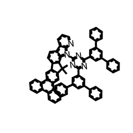 CC1(C)c2cc3c4ccccc4c4ccccc4c3cc2-c2ccc3c4cccnc4n(-c4nc(-c5cc(-c6ccccc6)cc(-c6ccccc6)c5)nc(-c5cc(-c6ccccc6)cc(-c6ccccc6)c5)n4)c3c21